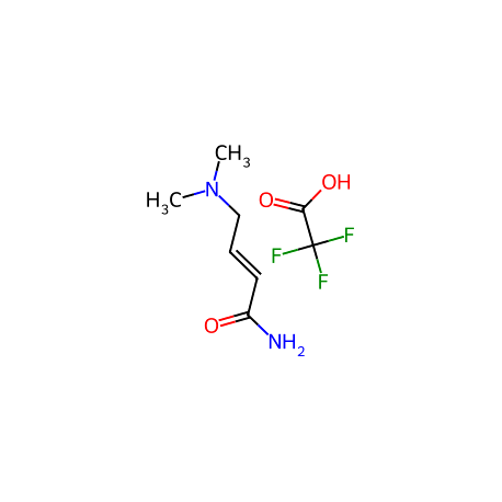 CN(C)CC=CC(N)=O.O=C(O)C(F)(F)F